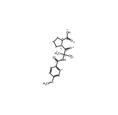 COc1ccc(C(=O)NC(C)(C)C(=O)N2CCCC2C(=O)O)cc1